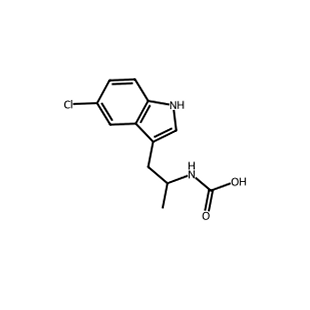 CC(Cc1c[nH]c2ccc(Cl)cc12)NC(=O)O